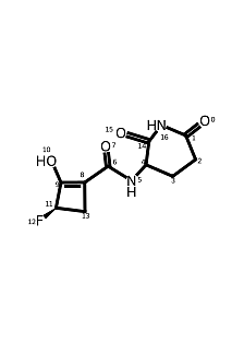 O=C1CCC(NC(=O)C2=C(O)[C@H](F)C2)C(=O)N1